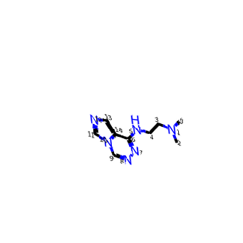 CN(C)CCNc1nncn2cncc12